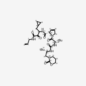 C=CCNC(=O)C(=O)C(CC1CC1)NC(=O)[C@@H]1C=CCN1C(=O)[C@@H](NC(=O)N[C@H](CN1CCCOC1=O)C(C)(C)C)C(C)(C)C